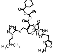 CC(C)C(OC(=O)C1=C(CSc2nnnn2CCN(C)C)CS[C@H]2[C@H](NC(=O)Cc3csc(N)n3)C(=O)N12)OC(=O)C1CCCCC1